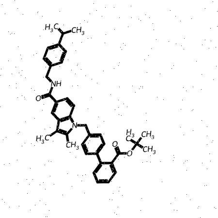 Cc1c(C)n(Cc2ccc(-c3ccccc3C(=O)OC(C)(C)C)cc2)c2ccc(C(=O)NCc3ccc(C(C)C)cc3)cc12